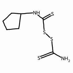 NC(=S)SSC(=S)NC1CCCC1